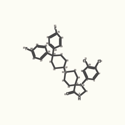 O=C1NCN(c2ccc(Cl)c(Cl)c2)C12CCN(C1CCC(c3ccc(F)cc3)(c3ccc(F)cc3)CC1)CC2